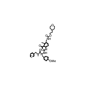 COc1ccc(C[C@H](Nc2nc3ccc(CNC(=O)OCCN4CCOCC4)c(C)c3c(=O)o2)C(=O)N(C)Cc2ccccc2)cc1